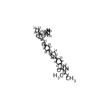 CCC(C)n1ncn(-c2ccc(N3CCN(c4ccc(OC[C@@H]5CO[C@@](Cn6nccn6)(C6=CCC6)O5)cc4)CC3)cc2)c1=O